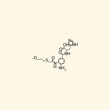 COCCCSCC(=O)Nc1cc(C(=O)NC(Cc2cnc[nH]2)C(=O)O)ccc1N